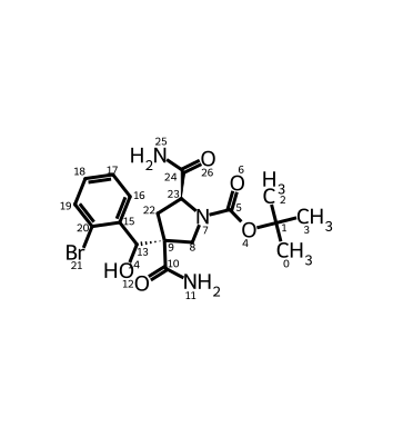 CC(C)(C)OC(=O)N1C[C@](C(N)=O)(C(O)c2ccccc2Br)C[C@H]1C(N)=O